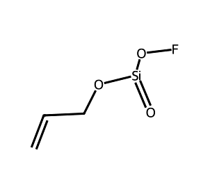 C=CCO[Si](=O)OF